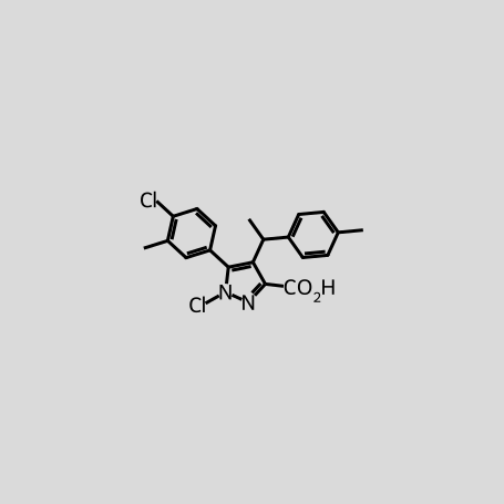 Cc1ccc(C(C)c2c(C(=O)O)nn(Cl)c2-c2ccc(Cl)c(C)c2)cc1